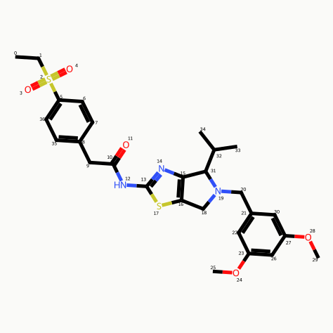 CCS(=O)(=O)c1ccc(CC(=O)Nc2nc3c(s2)CN(Cc2cc(OC)cc(OC)c2)C3C(C)C)cc1